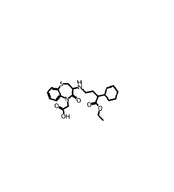 CCOC(=O)C(CCNC1CSc2ccccc2N(CC(=O)O)C1=O)C1CCCCC1